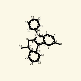 Cc1ccc2c(c1)c1c(n2-c2ccccc2)CC(C)c2ccccc2-1